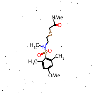 CNC(=O)CSCCN(C)S(=O)(=O)c1c(C)cc(OC)cc1C